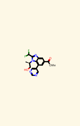 COC(=O)c1cc(-c2cncnc2)c2c(c1)nc(C(F)F)n2[C@H](C)CO